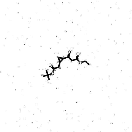 CCOC(=O)CC(=O)C1CC1CC(=O)OC(C)(C)C